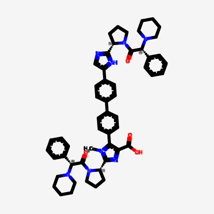 Cn1c([C@@H]2CCCN2C(=O)[C@@H](c2ccccc2)N2CCCCC2)nc(C(=O)O)c1-c1ccc(-c2ccc(-c3cnc([C@@H]4CCCN4C(=O)[C@@H](c4ccccc4)N4CCCCC4)[nH]3)cc2)cc1